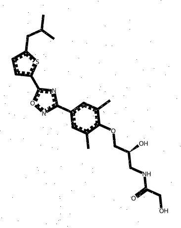 Cc1cc(-c2noc(-c3ccc(CC(C)C)s3)n2)cc(C)c1OC[C@@H](O)CNC(=O)CO